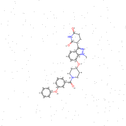 Cn1nc(C2CCC(=O)NC2=O)c2cccc(OC3CCN(C(=O)c4cccc(Oc5ccccc5)c4)CC3)c21